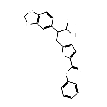 CC(N)C(Cc1ccc(C(=O)Nc2ccccc2)o1)c1ccc2c(c1)OCO2